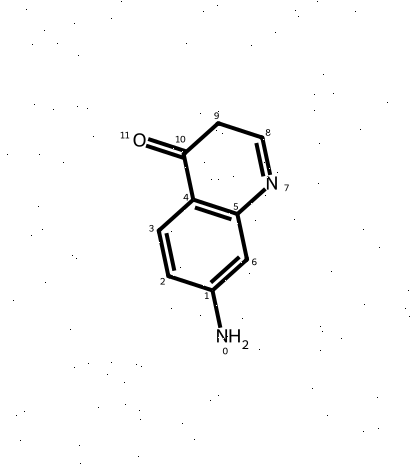 Nc1ccc2c(c1)N=CCC2=O